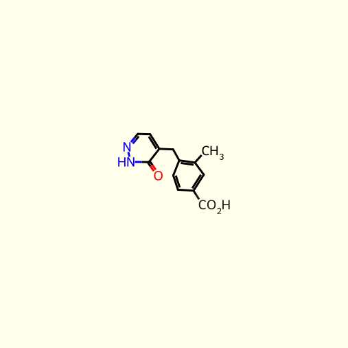 Cc1cc(C(=O)O)ccc1Cc1ccn[nH]c1=O